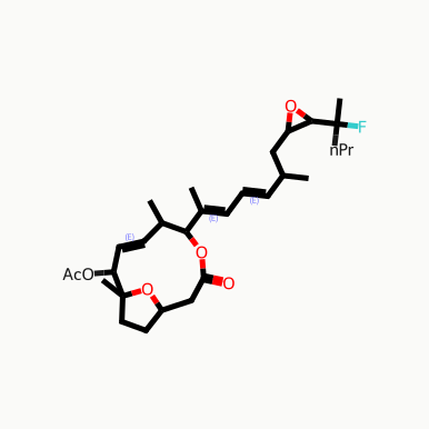 CCCC(C)(F)C1OC1CC(C)/C=C/C=C(\C)C1OC(=O)CC2CCC(C)(O2)C(OC(C)=O)/C=C/C1C